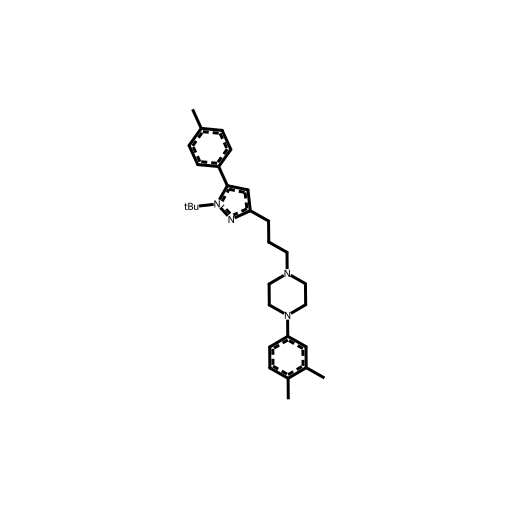 Cc1ccc(-c2cc(CCCN3CCN(c4ccc(C)c(C)c4)CC3)nn2C(C)(C)C)cc1